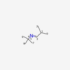 CC(C)/C=N/C(C)(C)C